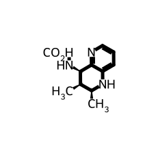 C[C@@H]1[C@H](C)Nc2cccnc2[C@@H]1NC(=O)O